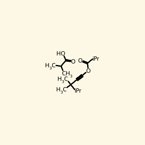 CC(C)C(=O)O.CC(C)C(=O)OC#CC(C)(C)C(C)C